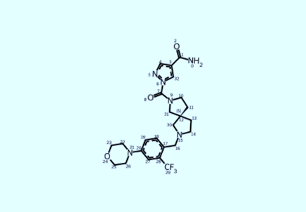 NC(=O)c1cnn(C(=O)N2CC[C@]3(CCN(Cc4ccc(N5CCOCC5)cc4C(F)(F)F)C3)C2)c1